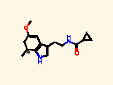 COC1=Cc2c(CCNC(=O)C3CC3)c[nH]c2[C@@H](C)C1